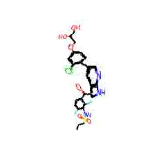 CCCS(=O)(=O)Nc1c(F)ccc(C(=O)c2c[nH]c3ncc(-c4ccc(OCC(O)CO)cc4Cl)cc23)c1F